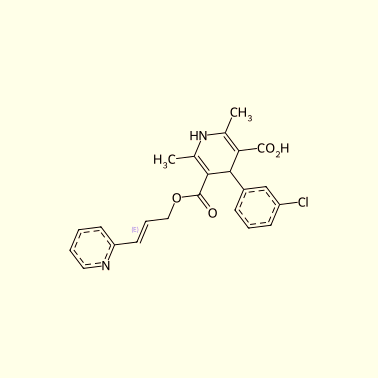 CC1=C(C(=O)O)C(c2cccc(Cl)c2)C(C(=O)OC/C=C/c2ccccn2)=C(C)N1